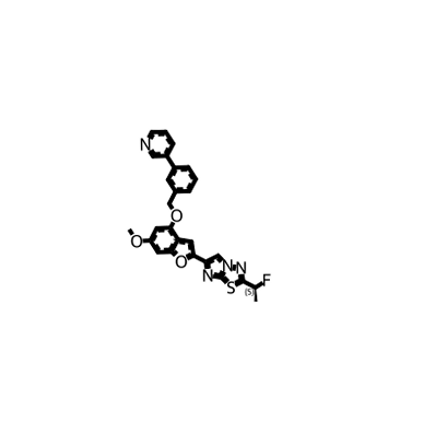 COc1cc(OCc2cccc(-c3cccnc3)c2)c2cc(-c3cn4nc([C@H](C)F)sc4n3)oc2c1